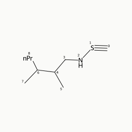 C#SNCC(C)C(C)CCC